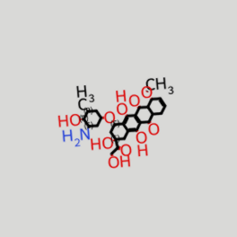 COC1C=CCC2C(=O)c3c(O)c4c(c(O)c3C(=O)C12)[C@@H](OC1C[C@@H](C)[C@@H](O)[C@@H](N)C1)C[C@](O)(C(=O)CO)C4